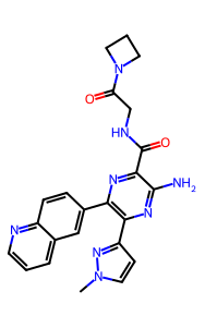 Cn1ccc(-c2nc(N)c(C(=O)NCC(=O)N3CCC3)nc2-c2ccc3ncccc3c2)n1